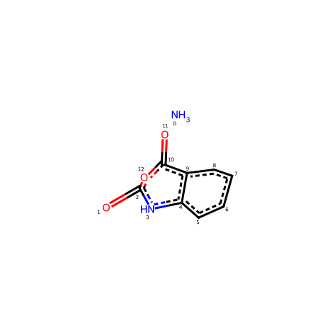 N.O=c1[nH]c2ccccc2c(=O)o1